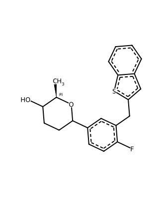 C[C@H]1OC(c2ccc(F)c(Cc3cc4ccccc4s3)c2)CCC1O